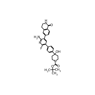 CC(C)(C)OC(=O)N1CCC(O)(c2ccc(-c3cc(-c4ccc5c(c4)CCNC5=O)c(N)nc3F)cc2)CC1